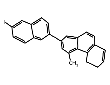 Cc1cc(-c2ccc3cc(I)ccc3c2)cc2ccc3c(c12)CCC=C3